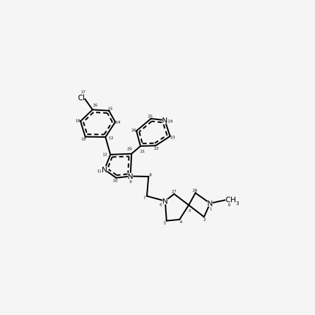 CN1CC2(CCN(CCn3cnc(-c4ccc(Cl)cc4)c3-c3ccncc3)C2)C1